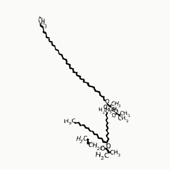 C=C(C)C(=O)OC.C=C(C)C(=O)OC(CCCCCCCCCCCC)CCCCCCCCCCCCCC.C=C(C)C(=O)OCCCCCCCCCCCCCCCCCCCCCCCCCCCCCCCCCCCC.C=CC=C